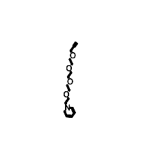 C#CCOCCOCCOCCOCCN1C=CC=CC1